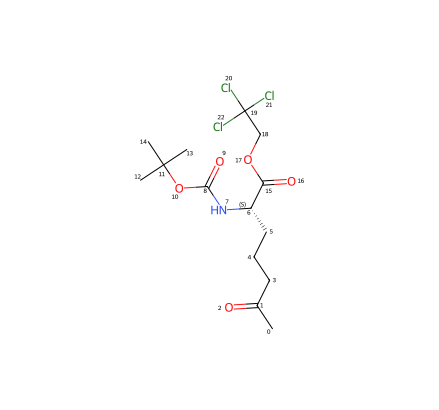 CC(=O)CCC[C@H](NC(=O)OC(C)(C)C)C(=O)OCC(Cl)(Cl)Cl